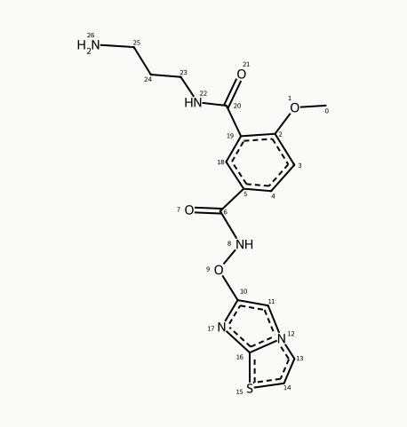 COc1ccc(C(=O)NOc2cn3ccsc3n2)cc1C(=O)NCCCN